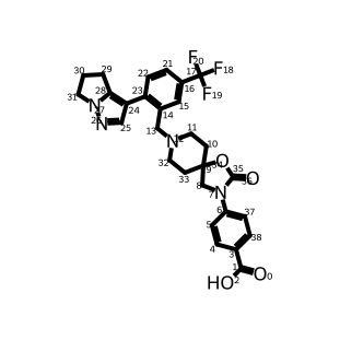 O=C(O)c1ccc(N2CC3(CCN(Cc4cc(C(F)(F)F)ccc4-c4cnn5c4CCC5)CC3)OC2=O)cc1